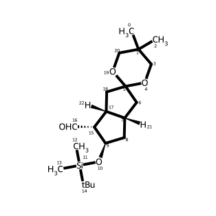 CC1(C)COC2(C[C@@H]3C[C@@H](O[Si](C)(C)C(C)(C)C)[C@H](C=O)[C@@H]3C2)OC1